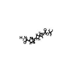 CC(C)(C)OC(=O)N1CC2(CC(n3ncc(C(N)=O)n3)C2)C1